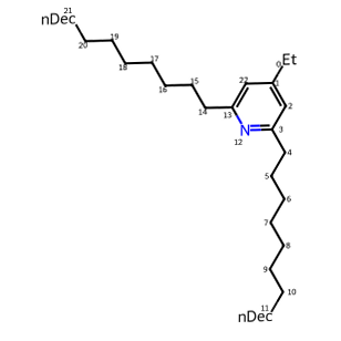 [CH2]Cc1cc(CCCCCCCCCCCCCCCCC)nc(CCCCCCCCCCCCCCCCC)c1